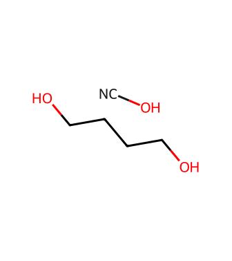 N#CO.OCCCCO